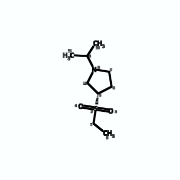 CCS(=O)(=O)[C@H]1CCN(C(C)C)C1